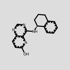 Oc1ccc2ncnc(N[C@H]3CCCc4ccccc43)c2n1